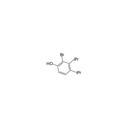 CC(C)c1ccc(O)c(Br)c1C(C)C